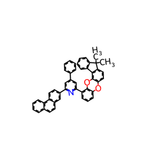 CC1(C)c2ccccc2-c2c1ccc1c2Oc2c(cccc2-c2cc(-c3ccccc3)cc(-c3ccc4c(ccc5ccccc54)c3)n2)O1